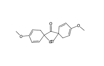 COC1=CCC(Cl)(C(=O)C2(Cl)C=CC(OC)=CC2)C=C1